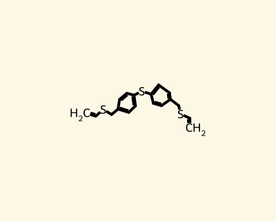 C=CSCc1ccc(Sc2ccc(CSC=C)cc2)cc1